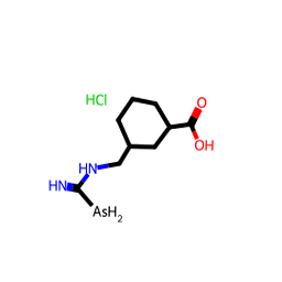 Cl.N=C([AsH2])NCC1CCCC(C(=O)O)C1